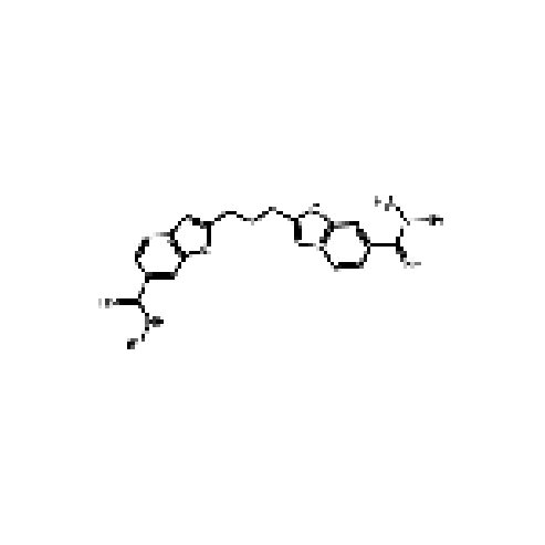 CC(C)NC(=N)c1ccc2cc(CCCc3cc4ccc(C(=N)N(C)C(C)C)cc4o3)oc2c1